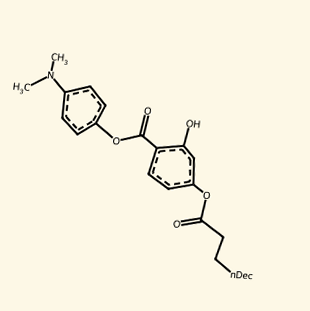 CCCCCCCCCCCCC(=O)Oc1ccc(C(=O)Oc2ccc(N(C)C)cc2)c(O)c1